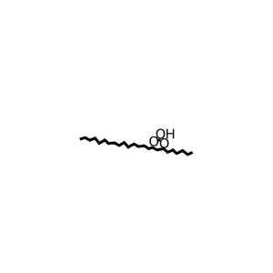 CCCCCCCCCCCCCCCC(CCCCCCCC)OC(=O)O